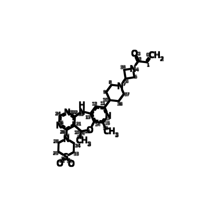 C=CC(=O)N1CC(N2CCC(c3cc4c(c(C)n3)O[C@@H](C)c3c(ncnc3N3CCS(=O)(=O)CC3)N4)CC2)C1